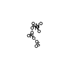 c1ccc(-c2cc(-c3ccccc3)nc(-n3c4ccccc4c4ccc(-c5ccc6c(c5)c5ccccc5n6-c5ccc(-c6ccc7sc8ccccc8c7c6)cc5)cc43)n2)cc1